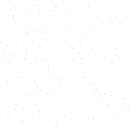 CC(C)C/C(=C/C(N)=O)C(N)=O.CCCCNC(=O)/C=C\C(N)=O